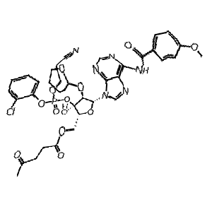 COc1ccc(C(=O)Nc2ncnc3c2ncn3[C@@H]2O[C@H](COC(=O)CCC(C)=O)[C@@](O)(OP(=O)(OCCC#N)Oc3ccccc3Cl)[C@H]2OC2CCCO2)cc1